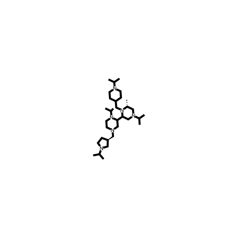 CC(C)N1CCC(CN2C(C3CN(C[C@@H]4CCN(C(C)C)C4)CCN3C(C)C)CN(C(C)C)C[C@H]2C)CC1